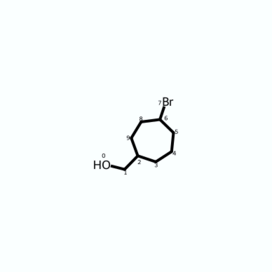 OCC1CCCC(Br)CC1